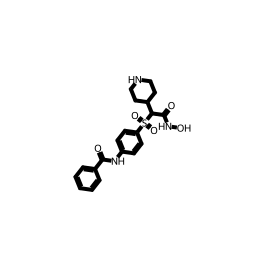 O=C(Nc1ccc(S(=O)(=O)C(C(=O)NO)C2CCNCC2)cc1)c1ccccc1